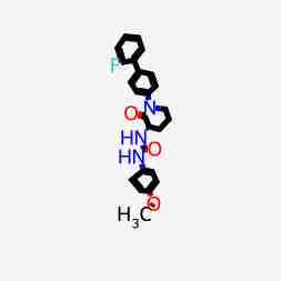 COc1ccc(NC(=O)N[C@@H]2CCCN(c3ccc(-c4ccccc4F)cc3)C2=O)cc1